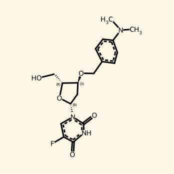 CN(C)c1ccc(CO[C@H]2C[C@H](n3cc(F)c(=O)[nH]c3=O)O[C@@H]2CO)cc1